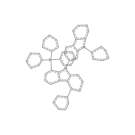 c1ccc(-c2cccc3c2c2cccc([Si](c4ccccc4)(c4ccccc4)c4ccccc4)c2n3-c2ccc3c4ccccc4n(-c4ccccc4)c3c2)cc1